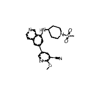 COc1ncc(-c2cc(NC3CCN(S(C)(=O)=O)CC3)c3cnccc3c2)cc1C#N